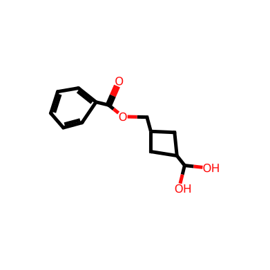 O=C(OCC1CC(C(O)O)C1)c1ccccc1